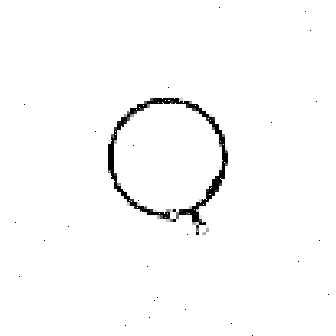 O=C1C=CCCCCCCCCCCCCCO1